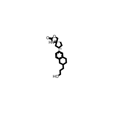 O=C1N[C@@]2(CC[C@H](c3ccc4c(c3)CCC(CCCO)C4)C2)CO1